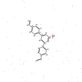 C=Cc1ccc(-c2cc(Br)cc(-c3ccc(C=C)cc3)c2)cc1